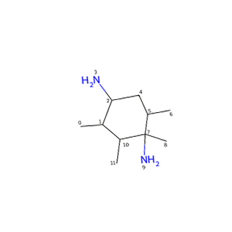 CC1C(N)CC(C)C(C)(N)C1C